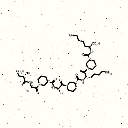 CCC(C)[C@H](NC(=O)[C@@H](N)CC(=O)O)C(=O)N1CCC[C@@H](C(=O)N[C@H](C(=O)N2CCC[C@@H](C(=O)N[C@@H](CCCCN)C(=O)N3CCC[C@@H](C(=O)N[C@@H](CCCCN)C(=O)O)C3)C2)C(C)C)C1